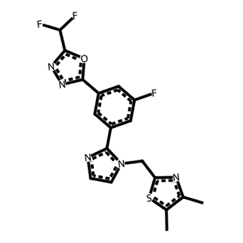 Cc1nc(Cn2ccnc2-c2cc(F)cc(-c3nnc(C(F)F)o3)c2)sc1C